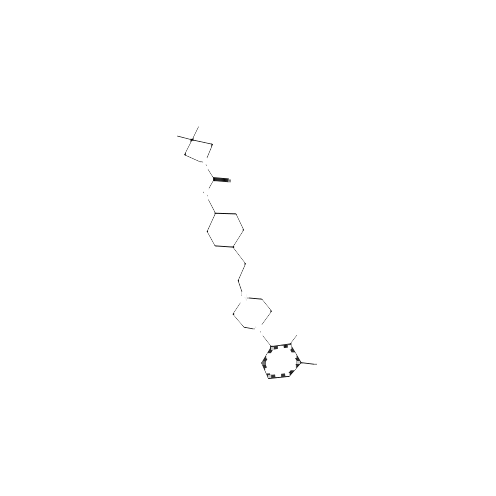 O=C(NC1CCC(CCN2CCN(c3cccc(Cl)c3Cl)CC2)CC1)N1CC(F)(F)C1